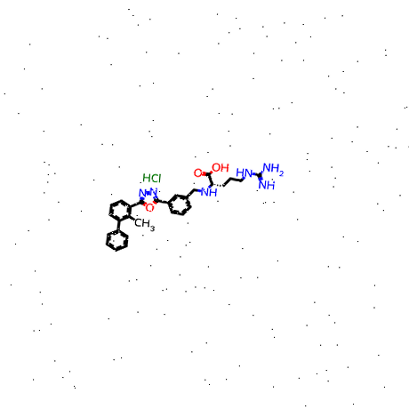 Cc1c(-c2ccccc2)cccc1-c1nnc(-c2cccc(CN[C@@H](CCCNC(=N)N)C(=O)O)c2)o1.Cl